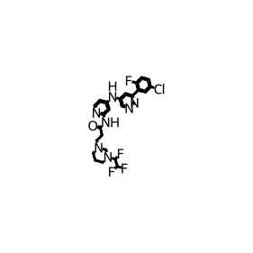 O=C(CCN1CCCN(C(F)C(F)F)C1)Nc1cc(Nc2cnnc(-c3cc(Cl)ccc3F)c2)ccn1